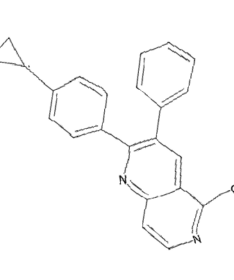 Clc1nccc2nc(-c3ccc([C]4CC4)cc3)c(-c3ccccc3)cc12